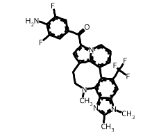 Cc1nc2c3c(c(C(F)(F)F)cc2n1C)-c1cccn2c(C(=O)c4cc(F)c(N)c(F)c4)cc(c12)CCN3C